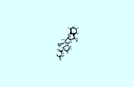 COc1cc([C@H](C)N(C(=O)[C@H]2CN(C(=O)OC(C)C)CCO2)C2CC2)nc2c1=CCCC=2